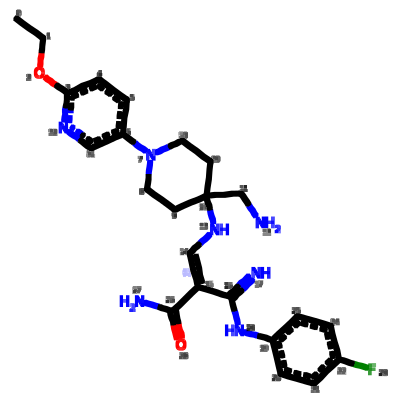 CCOc1ccc(N2CCC(CN)(N/C=C(\C(=N)Nc3ccc(F)cc3)C(N)=O)CC2)cn1